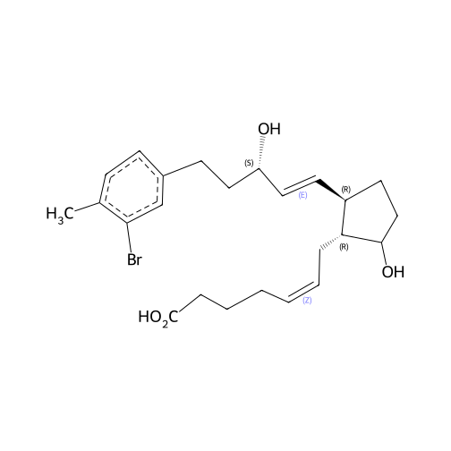 Cc1ccc(CC[C@H](O)/C=C/[C@H]2CCC(O)[C@@H]2C/C=C\CCCC(=O)O)cc1Br